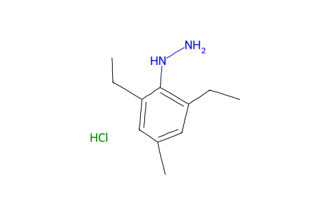 CCc1cc(C)cc(CC)c1NN.Cl